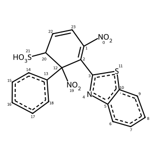 O=[N+]([O-])C1=C(c2nc3ccccc3s2)C(c2ccccc2)([N+](=O)[O-])C(S(=O)(=O)O)C=C1